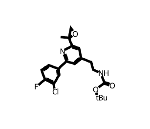 CC(C)(C)OC(=O)NCCc1cc(-c2ccc(F)c(Cl)c2)nc(C2(C)CO2)c1